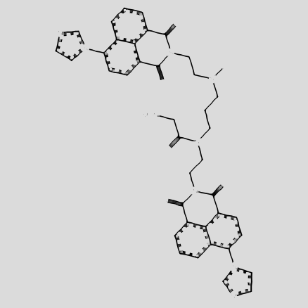 CCN(CCCN(CCN1C(=O)c2cccc3c(-n4ccnc4)ccc(c23)C1=O)C(=O)CNC)CCN1C(=O)c2cccc3c(-n4ccnc4)ccc(c23)C1=O